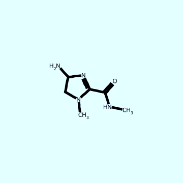 CNC(=O)C1=NC(N)CN1C